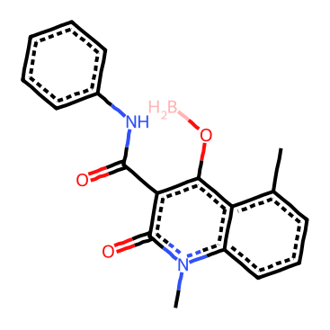 BOc1c(C(=O)Nc2ccccc2)c(=O)n(C)c2cccc(C)c12